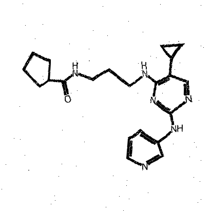 O=C(NCCCNc1nc(Nc2cccnc2)ncc1C1CC1)C1CCCC1